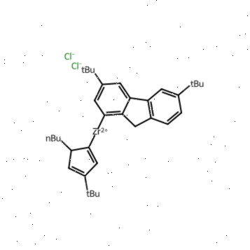 CCCCC1C=C(C(C)(C)C)C=[C]1[Zr+2][c]1cc(C(C)(C)C)cc2c1Cc1ccc(C(C)(C)C)cc1-2.[Cl-].[Cl-]